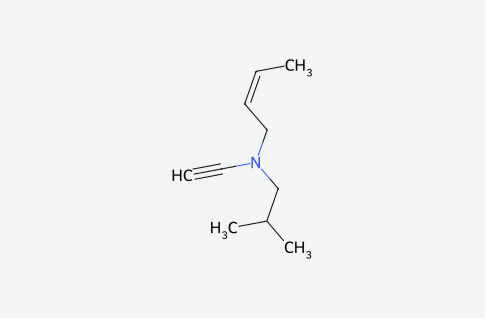 C#CN(C/C=C\C)CC(C)C